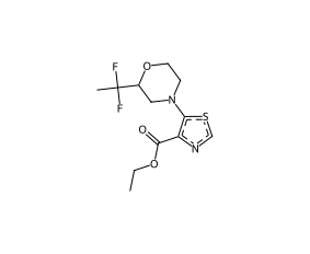 CCOC(=O)c1ncsc1N1CCOC(C(C)(F)F)C1